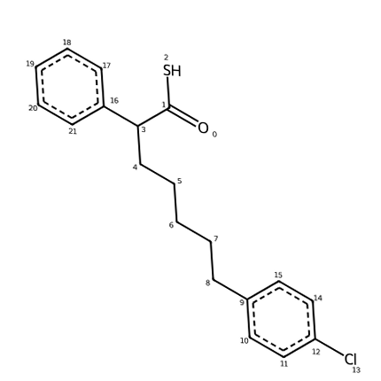 O=C(S)C(CCCCCc1ccc(Cl)cc1)c1ccccc1